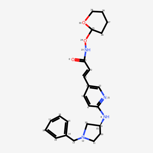 O=C(C=Cc1ccc(N[C@H]2CCN(Cc3ccccc3)C2)nc1)NOC1CCCCO1